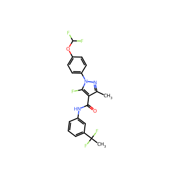 Cc1nn(-c2ccc(OC(F)F)cc2)c(F)c1C(=O)Nc1cccc(C(C)(F)F)c1